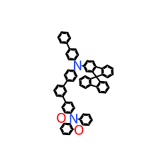 c1ccc(-c2ccc(N(c3ccc(-c4cccc(-c5ccc6c(c5)Oc5cccc7c5N6c5ccccc5O7)c4)cc3)c3ccc4c(c3)C3(c5ccccc5-c5ccccc53)c3ccccc3-4)cc2)cc1